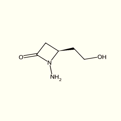 NN1C(=O)C[C@H]1CCO